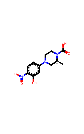 C[C@H]1CN(c2ccc([N+](=O)[O-])c(O)c2)CCN1C(=O)O